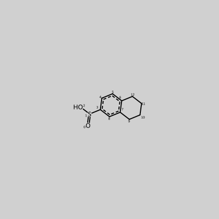 O=S(O)c1ccc2c(c1)CCCC2